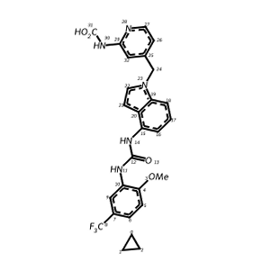 C1CC1.COc1ccc(C(F)(F)F)cc1NC(=O)Nc1cccc2c1ccn2Cc1ccnc(NC(=O)O)c1